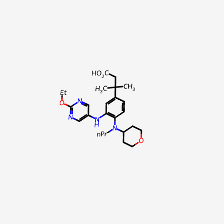 CCCN(c1ccc(C(C)(C)CC(=O)O)cc1Nc1cnc(OCC)nc1)C1CCOCC1